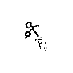 CC(C)c1c(C#CCO[PH](=O)C[C@@H](O)CC(=O)O)c(-c2ccc(F)cc2)n2c1CCCC2